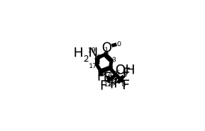 COc1cc(C(O)(C(F)(F)F)C(F)(F)F)c(F)cc1N